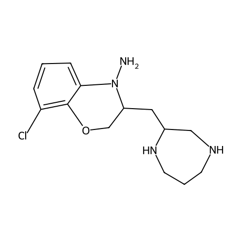 NN1c2cccc(Cl)c2OCC1CC1CNCCCN1